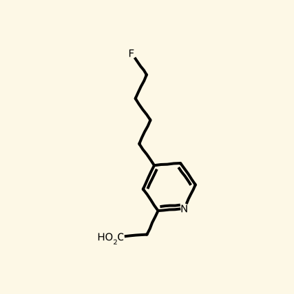 O=C(O)Cc1cc(CCCCF)ccn1